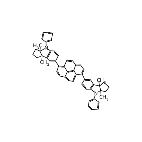 CC12CCCC1(C)N(c1ccccc1)c1ccc(-c3ccc4ccc5c(-c6ccc7c(c6)C6(C)CCCC6(C)N7c6ccccc6)ccc6ccc3c4c65)cc12